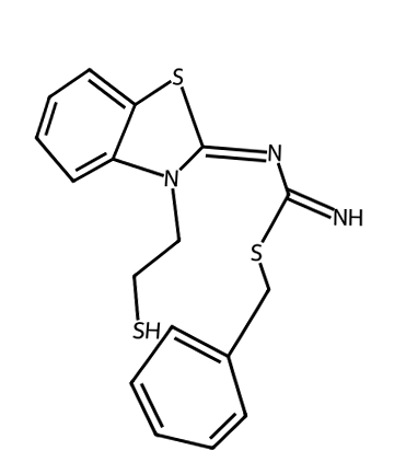 N=C(N=c1sc2ccccc2n1CCS)SCc1ccccc1